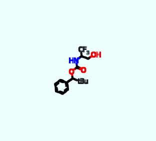 CC(C)(C)C(OC(=O)NC(CO)C(F)(F)F)c1ccccc1